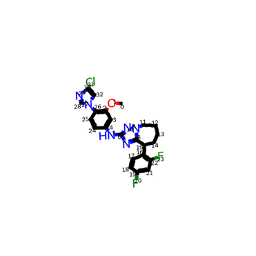 COc1cc(Nc2nc3n(n2)CCCCC3c2ccc(F)cc2F)ccc1-n1cnc(Cl)c1